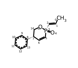 C/C=C/[P@]1(=O)C=C[C@H](c2ccccc2)CO1